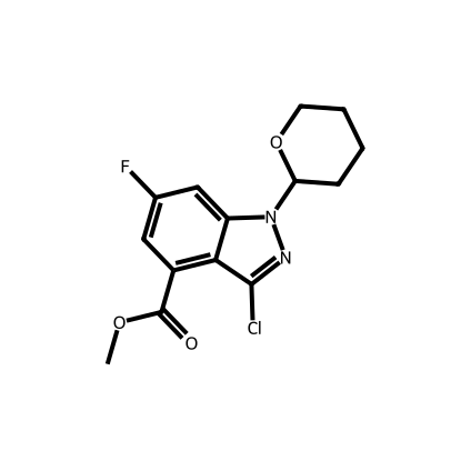 COC(=O)c1cc(F)cc2c1c(Cl)nn2C1CCCCO1